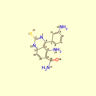 CSc1nc(-c2cccc(N)c2)c2c(N)c(C(N)=O)ccc2n1